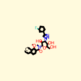 COc1c(C(=O)N(C)[C@@H]2OC(CO)[C@H](O)C(n3cc(-c4cccc(F)c4)nn3)C2O)ccc2ccccc12